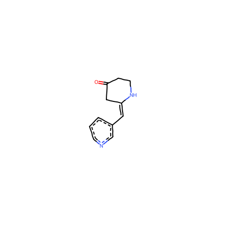 O=C1CCNC(=Cc2cccnc2)C1